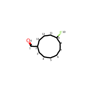 O=CC1CCCCCCC(F)CCC1